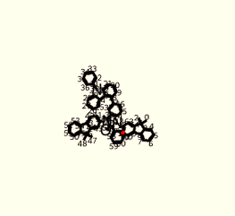 CC1(C)c2ccccc2-c2ccc(N3c4ccc(-c5cccc6c5c5ccccc5n6-c5ccccc5)cc4N(c4ccc5c(c4)C(C)(C)c4ccccc4-5)P3(=O)c3ccccc3)cc21